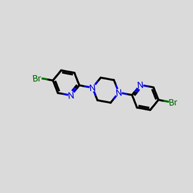 Brc1ccc(N2CCN(c3ccc(Br)cn3)CC2)nc1